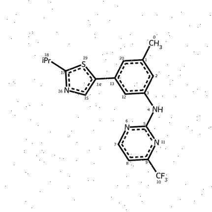 Cc1cc(Nc2nccc(C(F)(F)F)n2)cc(-c2cnc(C(C)C)s2)c1